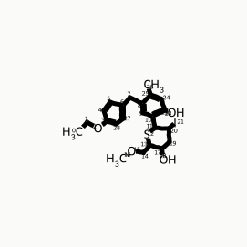 CCOc1ccc(Cc2cc(C3SC(COC)C(O)CC3I)c(O)cc2C)cc1